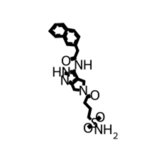 NS(=O)(=O)CCCC(=O)N1Cc2n[nH]c(NC(=O)Cc3ccc4ccccc4c3)c2C1